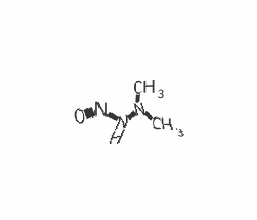 CN(C)NN=O